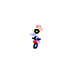 Cc1c(Nc2ccc(S(C)(=O)=O)cc2F)ncnc1OC1CC2CCC1N2C(=O)OC(C)C